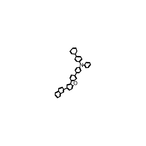 C1=CCC(c2ccc(N(c3ccccc3)c3ccc(-c4ccc5c(c4)oc4ccc(-c6ccc7ccccc7c6)cc45)cc3)cc2)C=C1